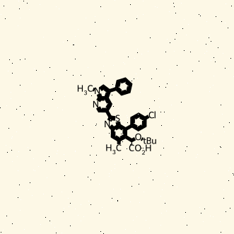 Cc1cc2nc(-c3cnc4c(c3)c(-c3ccccc3)cn4C)sc2c(-c2ccc(Cl)cc2)c1[C@H](OC(C)(C)C)C(=O)O